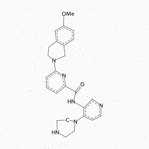 COc1ccc2c(c1)CCN(c1cccc(C(=O)Nc3cnccc3N3CCNCC3)n1)C2